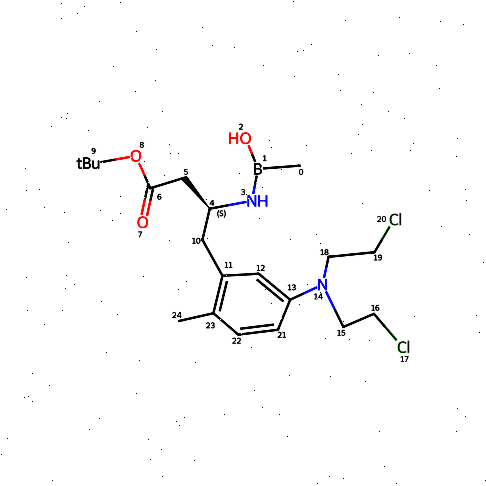 CB(O)N[C@H](CC(=O)OC(C)(C)C)Cc1cc(N(CCCl)CCCl)ccc1C